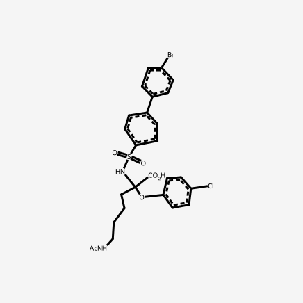 CC(=O)NCCCCC(NS(=O)(=O)c1ccc(-c2ccc(Br)cc2)cc1)(Oc1ccc(Cl)cc1)C(=O)O